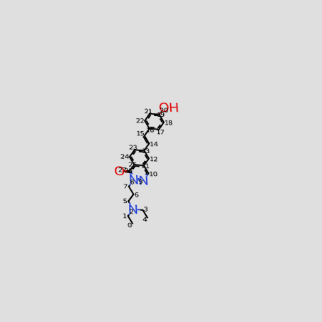 CCN(CC)CCCn1ncc2cc(/C=C/c3ccc(O)cc3)ccc2c1=O